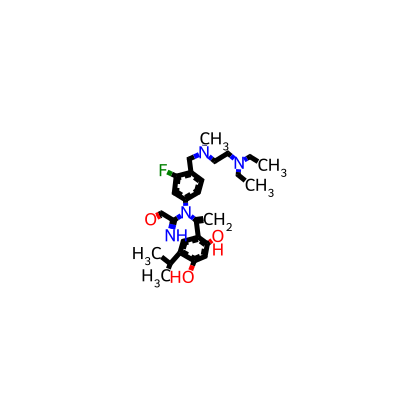 C=C(c1cc(C(C)C)c(O)cc1O)N(C(=N)C=O)c1ccc(CN(C)CCN(CC)CC)c(F)c1